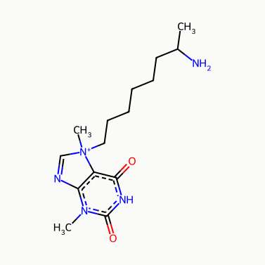 CC(N)CCCCCC[N+]1(C)C=Nc2c1c(=O)[nH]c(=O)n2C